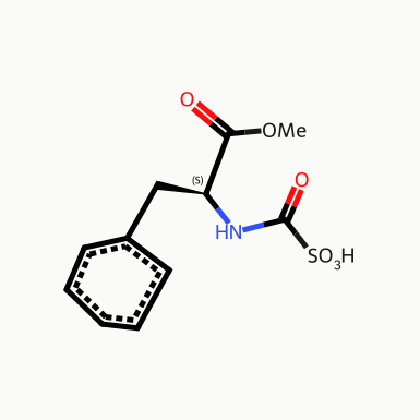 COC(=O)[C@H](Cc1ccccc1)NC(=O)S(=O)(=O)O